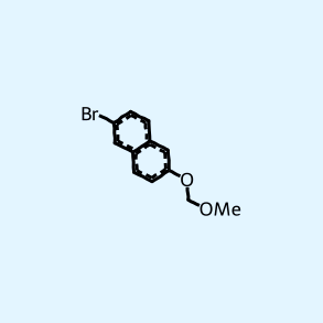 COCOc1ccc2cc(Br)ccc2c1